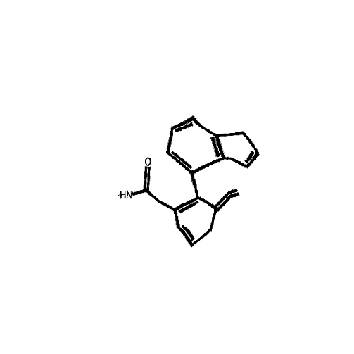 C=C1CC=CC(C([NH])=O)=C1c1cccc2c1C=CC2